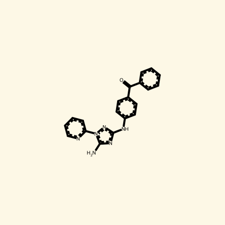 Nc1nc(Nc2ccc(C(=O)c3ccccc3)cc2)nn1-c1ccccn1